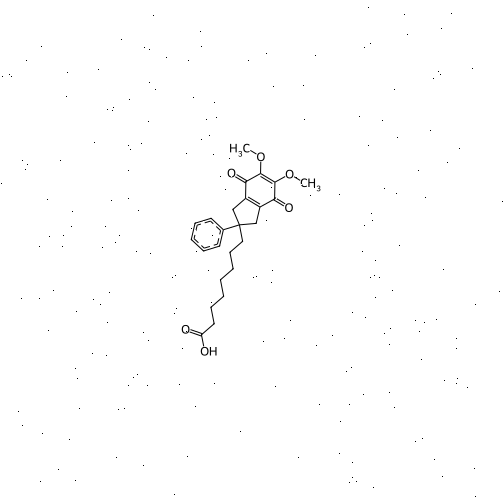 COC1=C(OC)C(=O)C2=C(CC(CCCCCCCC(=O)O)(c3ccccc3)C2)C1=O